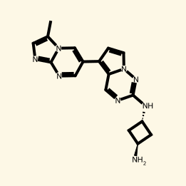 Cc1cnc2ncc(-c3ccn4nc(N[C@H]5C[C@H](N)C5)ncc34)cn12